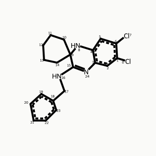 Clc1cc2c(cc1Cl)NC1(CCCCC1)C(NCc1ccccc1)=N2